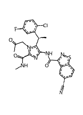 CNC(=O)c1nc(NC(=O)c2nsc3ccc(C#N)cc23)c([C@H](C)c2cc(F)ccc2Cl)n1CC(C)=O